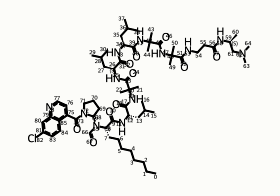 CCCCCCCC[C@@H](C(=O)N[C@@H](CC(C)C)C(=O)NC(C)(C)C(=O)N[C@@H](CC(C)C)C(=O)N[C@@H](CC(C)C)C(=O)NC(C)(C)C(=O)NC(C)(C)C(=O)NCCC(=O)N[C@@H](C)CN(C)C)N(C=O)[C@@H]1CCCN1C(=O)c1ccnc2cc(Cl)ccc12